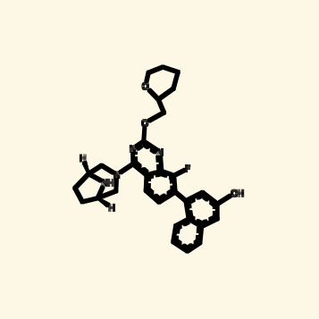 Oc1cc(-c2ccc3c(N4C[C@H]5CC[C@@H](C4)N5)nc(OCC4CCCCO4)nc3c2F)c2ccccc2c1